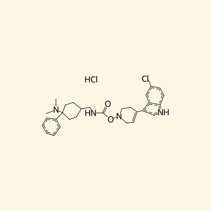 CN(C)C1(c2ccccc2)CCC(CNC(=O)ON2CC=C(c3c[nH]c4ccc(Cl)cc34)CC2)CC1.Cl